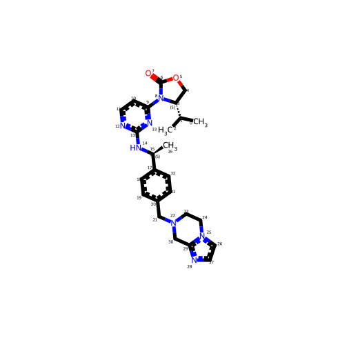 CC(C)[C@H]1COC(=O)N1c1ccnc(N[C@@H](C)c2ccc(CN3CCn4ccnc4C3)cc2)n1